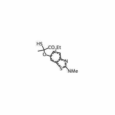 CCOC(=O)C(C)(S)Oc1ccc2nc(NC)sc2c1